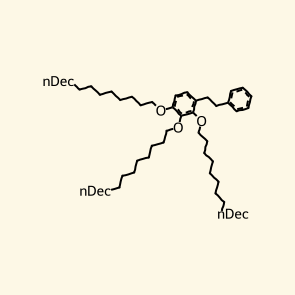 CCCCCCCCCCCCCCCCCCOc1ccc(CCc2ccccc2)c(OCCCCCCCCCCCCCCCCCC)c1OCCCCCCCCCCCCCCCCCC